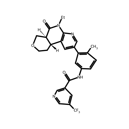 CCN1C(=O)[C@@H]2COCC[C@H]2c2cc(-c3cc(NC(=O)c4cncc(C(F)(F)F)c4)ccc3C)cnc21